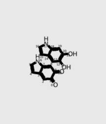 O=C1C=c2cc[nH]c2=CC1=O.Oc1cc2cc[nH]c2cc1O